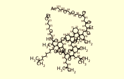 C=C(C)CCCCCCC(=O)C(C(C)C(=O)NCCOCCCCOCC)C1CC(C)CC(CC(=O)C(CCCCC(=C)C)CC(=O)C(CCC(=C)C)C2CC(=C)CC(CC(=O)C3CCCCC3C(=O)C3CCCCC3C(=O)C(CC(=C)C)CC(=O)C(CC)CC(=O)CCC(=O)OCCOCCOCCCC(C)=O)C2=C)C1=C